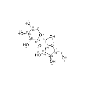 OC[C@H]1O[C@](CO)(O[C@H]2OC[C@@H](O)[C@H](O)[C@H]2O)[C@@H](O)[C@@H]1O